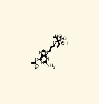 CCC(CC)(OCCCn1cnc2c(OC(C)OC)nc(N)nc21)P(=O)(O)O